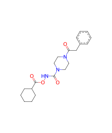 O=C(ONC(=O)N1CCN(C(=O)Cc2ccccc2)CC1)C1CCCCC1